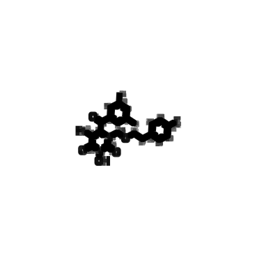 CCc1c(C(=O)c2cc(C)cc(C)c2)n(COCCc2ccc(F)cc2)c(=O)n(O)c1=O